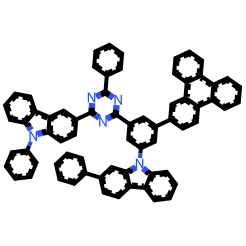 c1ccc(-c2ccc3c4ccccc4n(-c4cc(-c5ccc6c7ccccc7c7ccccc7c6c5)cc(-c5nc(-c6ccccc6)nc(-c6ccc7c(c6)c6ccccc6n7-c6ccccc6)n5)c4)c3c2)cc1